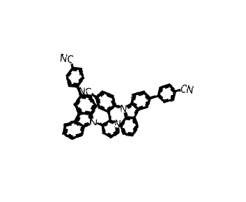 N#Cc1ccc(-c2ccc3c(c2)c2ccccc2n3-c2ccc(C#N)cc2-c2ncccc2-n2c3ccccc3c3cc(-c4ccc(C#N)cc4)ccc32)cc1